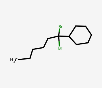 CCCCCC(Br)(Br)C1CCCCC1